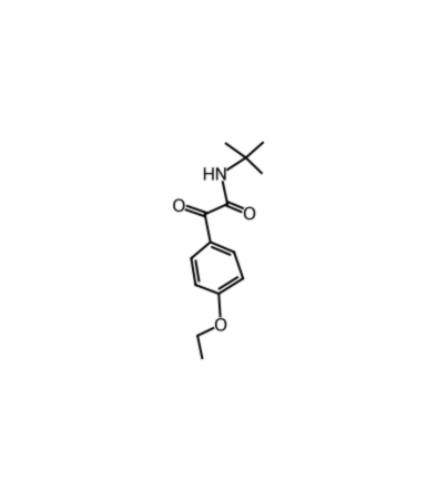 CCOc1ccc(C(=O)C(=O)NC(C)(C)C)cc1